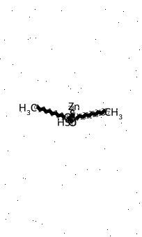 CCCCCCCCCCCOP(=O)(S)S(=S)CCCCCCCCCCC.[Zn]